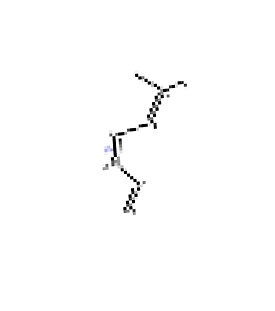 C=C/N=C\C=C(C)C